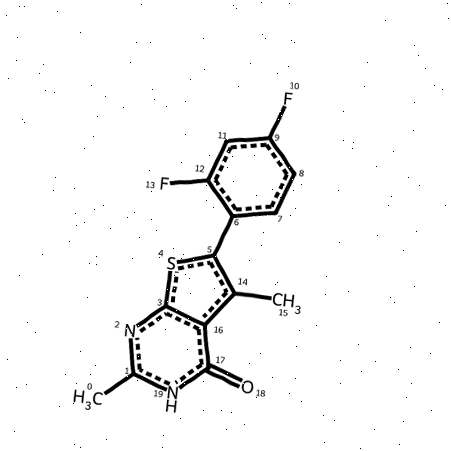 Cc1nc2sc(-c3ccc(F)cc3F)c(C)c2c(=O)[nH]1